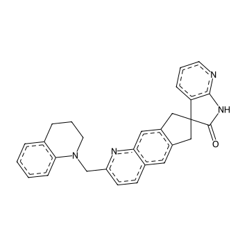 O=C1Nc2ncccc2C12Cc1cc3ccc(CN4CCCc5ccccc54)nc3cc1C2